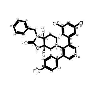 O=C1O[C@H]2CN(c3c(-c4ccc(C(F)(F)F)cc4)cncc3-c3cc(Cl)cc(Cl)c3)CC[C@H]2N1Cc1ccccc1